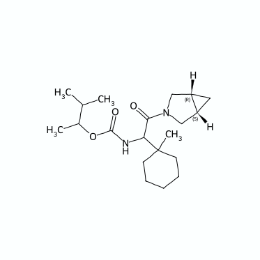 CC(C)C(C)OC(=O)NC(C(=O)N1C[C@H]2C[C@H]2C1)C1(C)CCCCC1